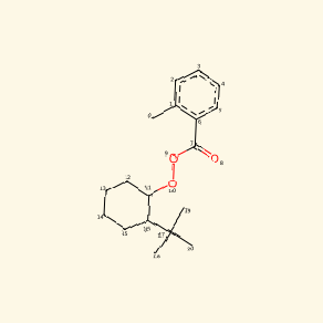 Cc1ccccc1C(=O)OO[C]1CCCCC1C(C)(C)C